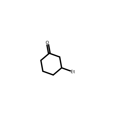 CCC1CCCC(=O)C1